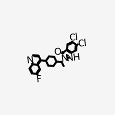 CC(C1CCC(c2ccnc3ccc(F)cc23)CC1)n1[nH]c2cc(Cl)c(Cl)cc2c1=O